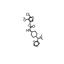 COc1c(OC(=O)NC2CCC(C(c3cccs3)N(C)C)CC2)csc1Cl